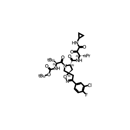 CCC[C@H](NC(=O)[C@@H]1C[C@]2(CC(c3ccc(F)c(Cl)c3)=NO2)CN1C(=O)[C@@H](NC(=O)OC(C)(C)C)C(C)(C)C)C(=O)C(=O)NC1CC1